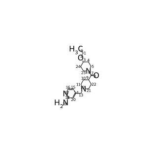 CCOC1CCN(C(=O)C2CCN(Cc3ccnc(N)c3)CC2)CC1